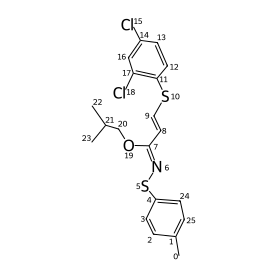 Cc1ccc(S/N=C(/C=C/Sc2ccc(Cl)cc2Cl)OCC(C)C)cc1